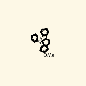 COc1ccc2c(c1)CCC(=O)C2(Sc1ccccc1)Sc1ccccc1